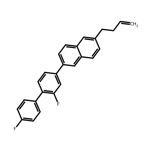 C=CCCc1ccc2cc(-c3ccc(-c4ccc(F)cc4)c(F)c3)ccc2c1